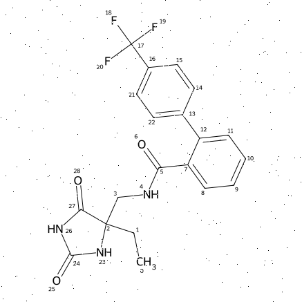 CCC1(CNC(=O)c2ccccc2-c2ccc(C(F)(F)F)cc2)NC(=O)NC1=O